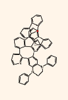 c1ccc(N2CCN(c3ccccc3)c3cc4c(cc32)-c2cccc(-c3cccc5c3oc3ccccc35)c2-c2c(cccc2-c2cccc3c2oc2ccccc23)-c2cccnc2-4)cc1